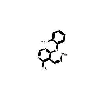 CO/N=C\c1c(N)ncnc1Oc1ccccc1OC